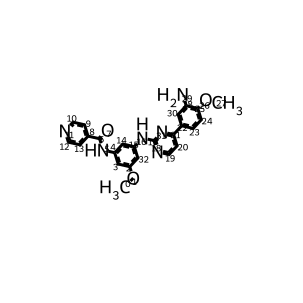 COc1cc(NC(=O)c2ccncc2)cc(Nc2nccc(-c3ccc(OC)c(N)c3)n2)c1